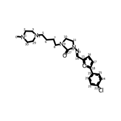 CN1CCN(CCCCN2CCN(N=Cc3ccc(-c4ccc(Cl)cc4)o3)C2=O)CC1